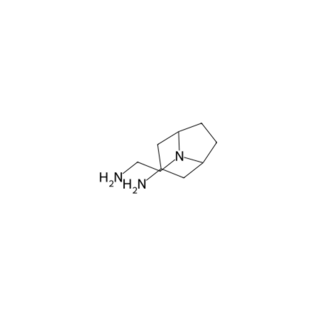 NCCN1C2CCC1CC(N)C2